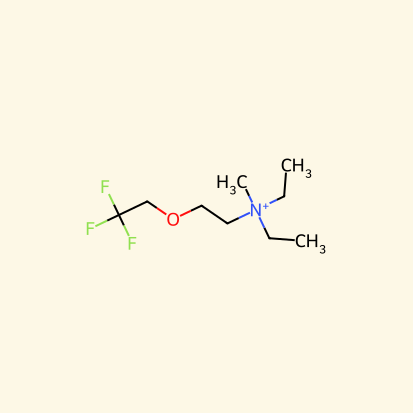 CC[N+](C)(CC)CCOCC(F)(F)F